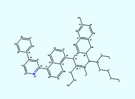 CCCCC(CC)C(/C(C)=C(/CCC)C(C)c1cccc2c(-c3cc(-c4ccccc4)ccn3)cccc12)C1C=Cc2cc(C)ccc2C1